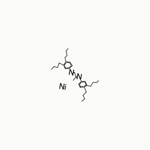 CCCCc1ccc(/N=C/C(C)=N/c2ccc(CCCC)c(CCCC)c2)cc1CCCC.[Ni]